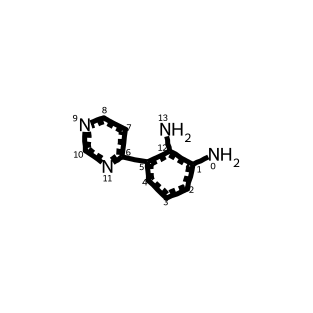 Nc1cccc(-c2ccncn2)c1N